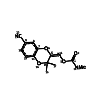 CNC(=O)ON=C1Oc2cc(C#N)ccc2OC1(C)C